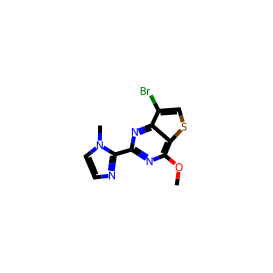 COc1nc(-c2nccn2C)nc2c(Br)csc12